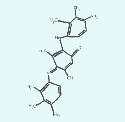 CC1=C(Nc2ccc(N)c(C)c2C)C(=O)C=C(O)/C1=N\c1ccc(N)c(C)c1C